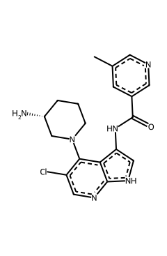 Cc1cncc(C(=O)Nc2c[nH]c3ncc(Cl)c(N4CCC[C@@H](N)C4)c23)c1